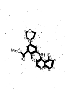 COC(=O)c1cc(N2CCOCC2)cc(Nc2ccnc3cccc(F)c23)c1[N+](=O)[O-]